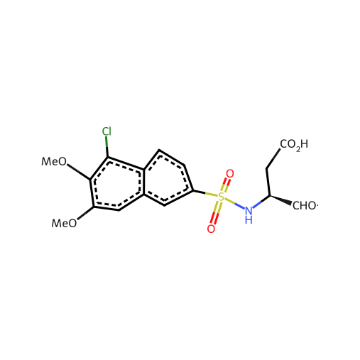 COc1cc2cc(S(=O)(=O)N[C@H]([C]=O)CC(=O)O)ccc2c(Cl)c1OC